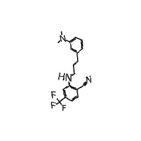 CN(C)c1cccc(CCCNc2cc(C(F)(F)F)ccc2C#N)c1